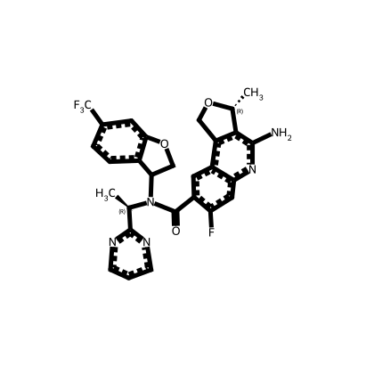 C[C@H](c1ncccn1)N(C(=O)c1cc2c3c(c(N)nc2cc1F)[C@@H](C)OC3)C1COc2cc(C(F)(F)F)ccc21